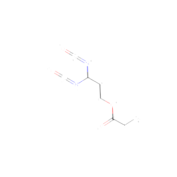 CC(=O)CC(=O)OCCC(N=C=O)N=C=O